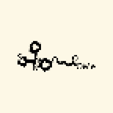 COC(=O)CCCOc1ccc2nc(-c3ccsc3)n(-c3ccccc3)c2c1